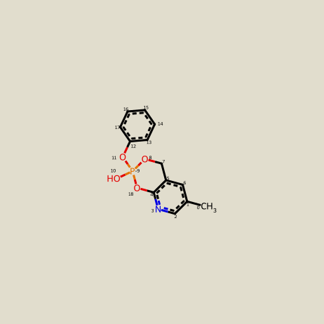 Cc1cnc2c(c1)CO[P](O)(Oc1ccccc1)O2